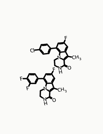 Cc1c2n(c3c(-c4ccc(Cl)cc4)cc(F)cc13)CCNC2=O.Cc1c2n(c3c(-c4ccc(F)c(F)c4)cc(F)cc13)CCNC2=O